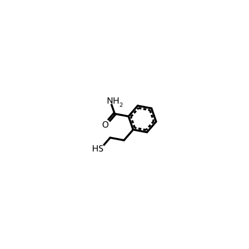 NC(=O)c1ccccc1CCS